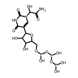 NC(=O)C(O)n1cc(C2OC(COP(O)OP(O)OP(O)O)C(O)C2O)c(=O)[nH]c1=O